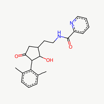 Cc1cccc(C)c1C1C(=O)CC(CCNC(=O)c2ccccn2)C1O